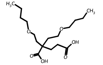 CCCCOCCC(CCOCCCC)(CCC(=O)O)C(=O)O